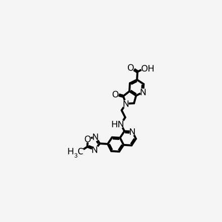 Cc1nc(-c2ccc3ccnc(NCCN4Cc5ncc(C(=O)O)cc5C4=O)c3c2)no1